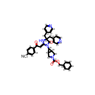 N#Cc1ccc(C(=O)C=C2NC(Cc3ccncc3)(Cc3ccncc3)C(=O)N2C2C3CN(C(=O)OCc4ccccc4)CC32)cc1